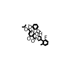 COc1cccc(OC)c1-n1c(COC(C)C)cc(=O)c(C(=O)N2CCC(c3c(C)cccc3F)C2)c1O